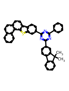 CC1(C)c2ccccc2-c2ccc(-c3nc(-c4ccccc4)nc(-c4ccc5c(c4)sc4c5ccc5ccc6ccccc6c54)n3)cc21